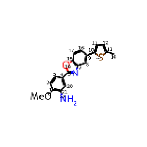 COc1ccc(-c2nc3cc(-c4ccc(C)s4)ccc3o2)cc1N